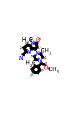 COCC(c1ccc(F)cc1)N1C[C@H](C)N(c2cc(=O)n(C)c3ccc(C#N)nc23)C[C@H]1C